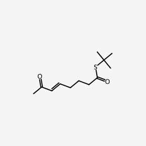 CC(=O)C=CCCCC(=O)SC(C)(C)C